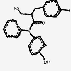 O=C(C(CO)Cc1ccc(F)cc1)N(c1ccccc1)c1ccc(O)cc1